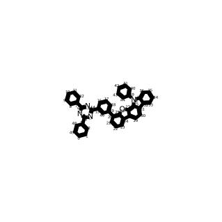 c1ccc(-c2nc(-c3ccccc3)nc(-c3cccc(-c4cccc5c4oc4c5ccc5c6ccccc6n(-c6ccccc6)c54)c3)n2)cc1